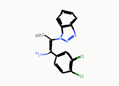 CCOC(=O)/C(=C(\N)c1ccc(Cl)c(Cl)c1)n1nnc2ccccc21